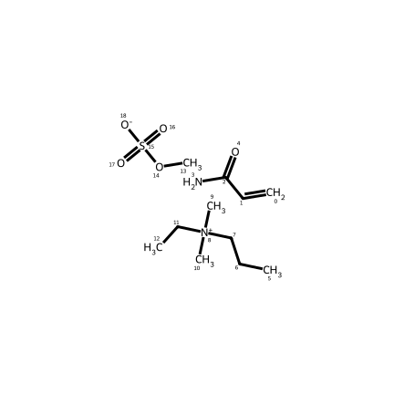 C=CC(N)=O.CCC[N+](C)(C)CC.COS(=O)(=O)[O-]